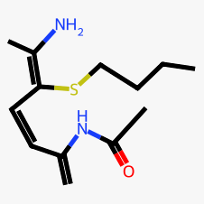 C=C(/C=C\C(SCCCC)=C(/C)N)NC(C)=O